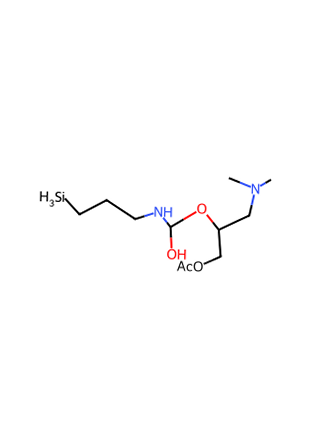 CC(=O)OCC(CN(C)C)OC(O)NCCC[SiH3]